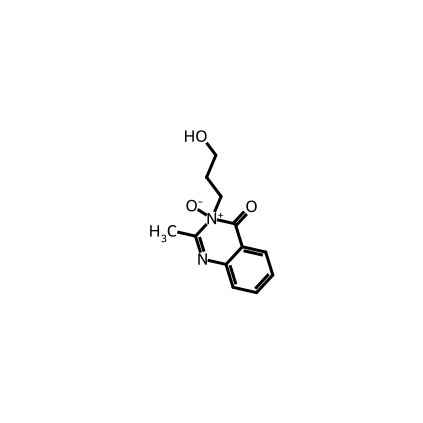 CC1=Nc2ccccc2C(=O)[N+]1([O-])CCCO